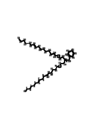 CCCCCCC=CCCCCCCCCOCCN(CCOCCCCCCCCC=CCCCCCC)Cc1ccccc1